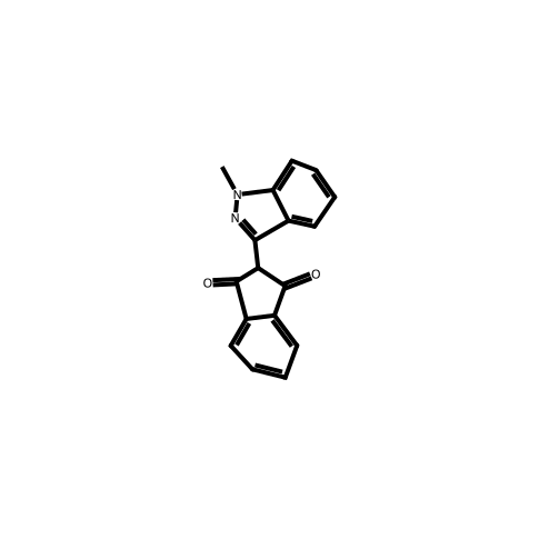 Cn1nc(C2C(=O)c3ccccc3C2=O)c2ccccc21